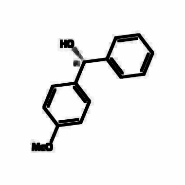 COc1ccc([C@H](O)c2ccccc2)cc1